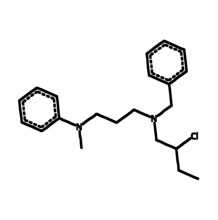 CCC(Cl)CN(CCCN(C)c1ccccc1)Cc1ccccc1